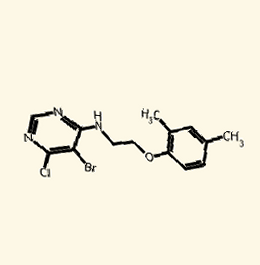 Cc1ccc(OCCNc2ncnc(Cl)c2Br)c(C)c1